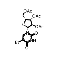 CCc1cn([C@@H]2O[C@H](COC(C)=O)[C@H](OC(C)=O)[C@H]2OC(C)=O)c(=O)[nH]c1=O